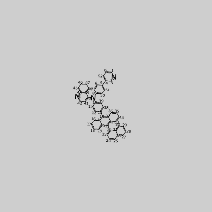 c1cncc(-c2ccc(N(c3ccc(-c4c5ccccc5c(-c5cccc6ccccc56)c5ccccc45)cc3)c3ccnc4ccccc34)cc2)c1